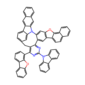 c1ccc2cc3c(cc2c1)c1ccc2cc1n3-c1cc3oc4c5ccccc5ccc4c3cc1-c1nc(-n3c4ccccc4c4ccccc43)nc(-c3cccc4c3oc3ccccc34)c1C2